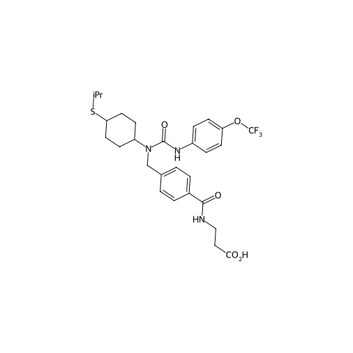 CC(C)SC1CCC(N(Cc2ccc(C(=O)NCCC(=O)O)cc2)C(=O)Nc2ccc(OC(F)(F)F)cc2)CC1